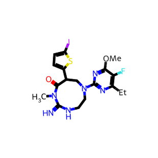 CCc1nc(N2CCNC(=N)N(C)C(=O)C(c3ccc(I)s3)C2)nc(OC)c1F